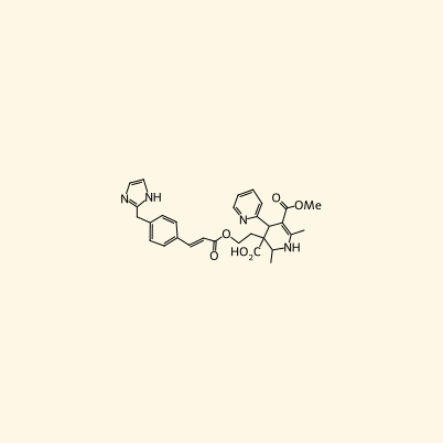 COC(=O)C1=C(C)NC(C)C(CCOC(=O)C=Cc2ccc(Cc3ncc[nH]3)cc2)(C(=O)O)C1c1ccccn1